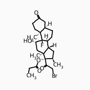 CCC(=O)O[C@@]1(C(=O)CBr)[C@H](C)C[C@H]2[C@@H]3CC[C@@H]4CC(=O)CC[C@]4(C)[C@@]3(F)[C@@H](O)C[C@@]21C